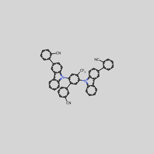 N#Cc1cccc(-c2cc(-n3c4ccccc4c4cc(-c5ccccc5C#N)ccc43)c(C(F)(F)F)cc2-n2c3ccccc3c3cc(-c4ccccc4C#N)ccc32)c1